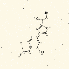 O=C(CBr)c1cc(-c2ccc(OC(F)F)c(O)c2)no1